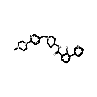 CN1CCN(c2ccc(CN3CCC(NC(=O)c4cccc(-c5cccnc5)c4Cl)CC3)cn2)CC1